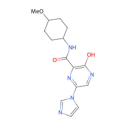 COC1CCC(NC(=O)c2nc(-n3ccnc3)cnc2O)CC1